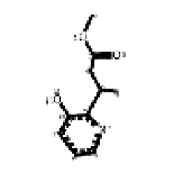 COC(=O)CC(C)c1ncccc1O